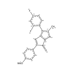 COc1ccc(C2=Nc3c(-c4ccc(F)cc4F)c(C)nn3C2=O)cc1